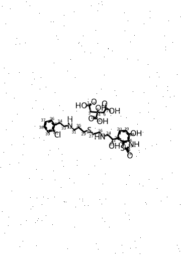 O=C(O)CC(O)(CC(=O)O)C(=O)O.O=c1[nH]c2c(O)ccc([C@@H](O)CNCCSCCCNCCc3ccccc3Cl)c2s1